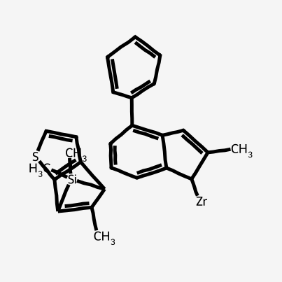 CC1=C2c3sccc3C1[Si]2(C)C.CC1=Cc2c(-c3ccccc3)cccc2[CH]1[Zr]